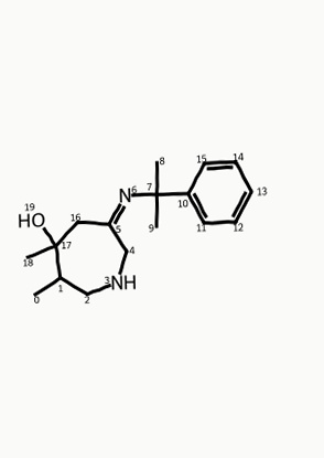 CC1CNC/C(=N\C(C)(C)c2ccccc2)CC1(C)O